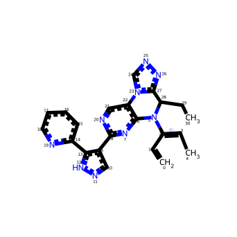 C=C/C(=C\C)N1c2nc(-c3cn[nH]c3-c3ccccn3)ncc2-n2cnnc2C1CC